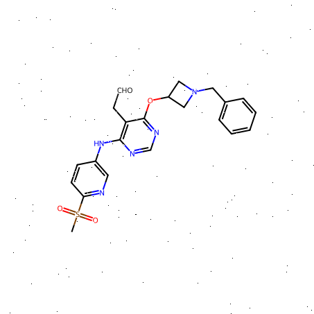 CS(=O)(=O)c1ccc(Nc2ncnc(OC3CN(Cc4ccccc4)C3)c2CC=O)cn1